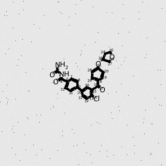 NC(=O)NC(=O)c1ccc(-c2ccc(Cl)c(C(=O)c3ccc(O[C@@H]4CCOC4)cc3)c2)cc1